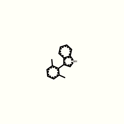 Cc1cccc(C)c1-c1c[nH]c2ccccc12